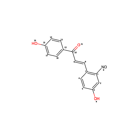 O=Nc1cc(O)ccc1/C=C/C(=O)c1ccc(O)cc1